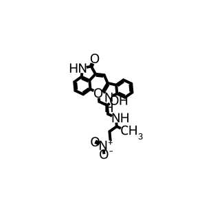 CC(CC[N+](=O)[O-])NCC(O)COc1cccc2c1/C(=C\c1c[nH]c3ccccc13)C(=O)N2